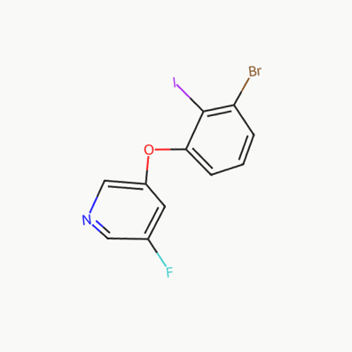 Fc1cncc(Oc2cccc(Br)c2I)c1